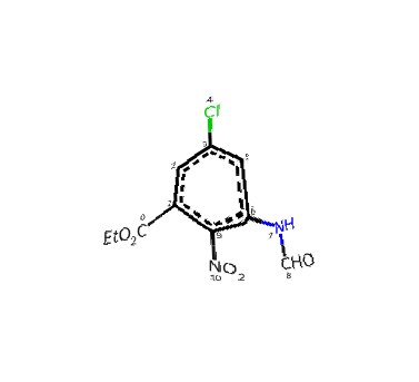 CCOC(=O)c1cc(Cl)cc(NC=O)c1[N+](=O)[O-]